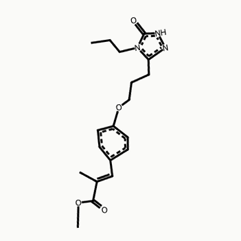 CCCn1c(CCCOc2ccc(/C=C(\C)C(=O)OC)cc2)n[nH]c1=O